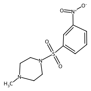 CN1CCN(S(=O)(=O)c2cccc([N+](=O)[O-])c2)CC1